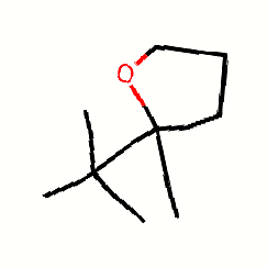 CC(C)(C)C1(C)CCCO1